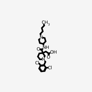 CCCCCN1CCC(NC(=O)C2(CC(=O)O)CCCN(Cc3c(Cl)cccc3Cl)C2)CC1